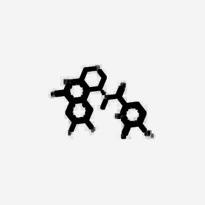 CN(C(=O)c1ccc(C(F)(F)F)c(=O)[nH]1)[C@H]1COCc2[nH]c(=O)c3cc(F)c(F)cc3c21